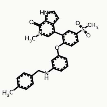 Cc1ccc(CNc2cccc(Oc3ccc(S(C)(=O)=O)cc3-c3cn(C)c(=O)c4[nH]ccc34)c2)cc1